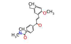 CCc1ccc(OC)c(C=CC(=O)c2ccc(C(=O)N(C)C)cc2)c1